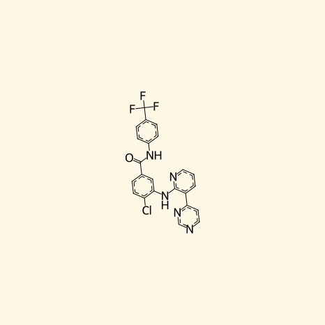 O=C(Nc1ccc(C(F)(F)F)cc1)c1ccc(Cl)c(Nc2ncccc2-c2ccncn2)c1